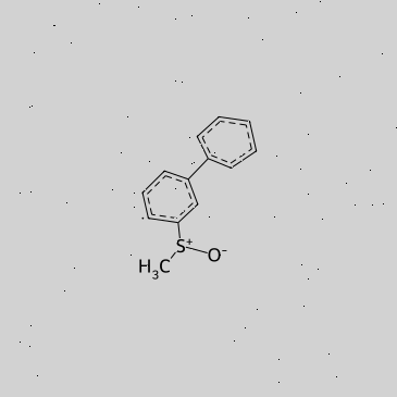 C[S+]([O-])c1[c]ccc(-c2ccccc2)c1